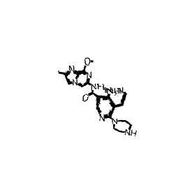 COc1nc(NC(=O)c2cnc(N3CCNCC3)c(/C=C\N)c2N)cn2cc(C)nc12